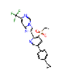 CCS(=O)(=O)c1cc(-c2ccc(C3CC3)cc2)cnc1-c1cn2cnc(C(F)(F)F)cc2n1